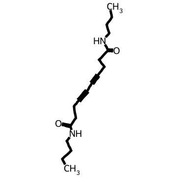 CCCCNC(=O)CCC#CC#CCCC(=O)NCCCC